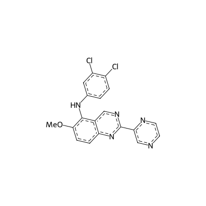 COc1ccc2nc(-c3cnccn3)ncc2c1Nc1ccc(Cl)c(Cl)c1